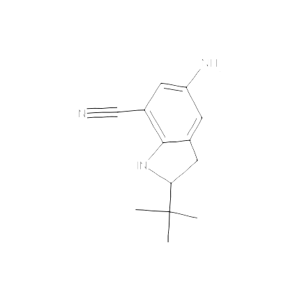 CC(C)(C)C1Cc2cc(N)cc(C#N)c2N1